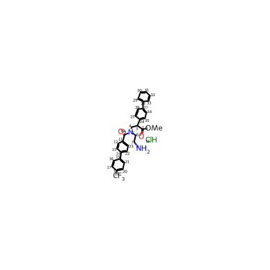 COC(=O)C(CN(CCN)C(=O)c1ccc(-c2ccc(C(F)(F)F)cc2)cc1)c1ccc(-c2ccccc2)cc1.Cl